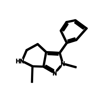 CC1NCCc2c1nn(C)c2-c1ccccc1